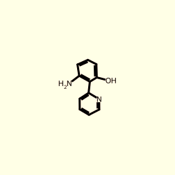 Nc1cccc(O)c1-c1ccccn1